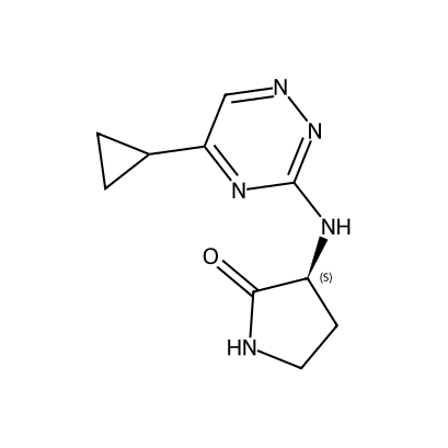 O=C1NCC[C@@H]1Nc1nncc(C2CC2)n1